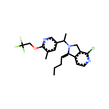 CCC/C=C1\c2ccnc(Cl)c2CN1C(C)c1cnc(OCC(F)(F)F)c(C)c1